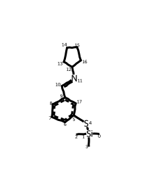 C[Si](C)(C)Sc1cccc(C=NC2CCCC2)c1